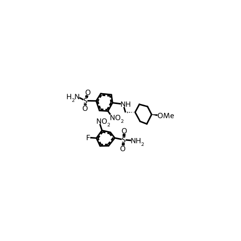 CO[C@H]1CC[C@H](CNc2ccc(S(N)(=O)=O)cc2[N+](=O)[O-])CC1.NS(=O)(=O)c1ccc(F)c([N+](=O)[O-])c1